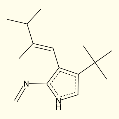 C=Nc1[nH]cc(C(C)(C)C)c1/C=C(\C)C(C)C